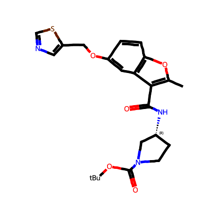 Cc1oc2ccc(OCc3cncs3)cc2c1C(=O)N[C@@H]1CCN(C(=O)OC(C)(C)C)C1